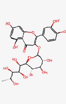 C[C@@H](O)[C@@H](O)[C@H](O)[C@@H](O)[C@H]1OC(Oc2c(-c3ccc(O)c(O)c3)oc3cc(O)cc(O)c3c2=O)[C@H](O)[C@@H](O)[C@@H]1O